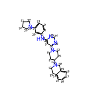 c1cc(Nc2cc(N3CCC(N4CCc5ccccc5C4)CC3)ncn2)cc(N2CCCC2)c1